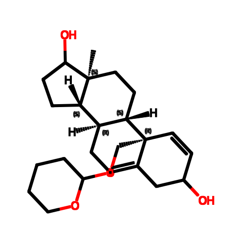 C[C@]12CC[C@H]3[C@@H](CC=C4CC(O)C=C[C@@]43COC3CCCCO3)[C@@H]1CCC2O